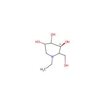 CCN1CC(O)C(O)[C@@H](O)C1CO